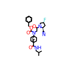 CC(C)CNC(=O)C12CCC(N(CC(=O)N3C[C@@H](F)C[C@H]3C#N)C(=O)OCc3ccccc3)(CC1)CC2